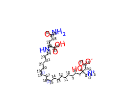 C[N+](C)(C)CC(O)(CCCCCCCC/C=C\C/C=C\CCCCCN[C@@H](CCC(N)=O)C(=O)O)CC(=O)[O-]